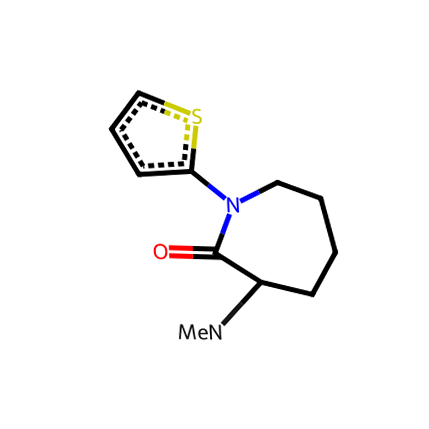 CNC1CCCCN(c2cccs2)C1=O